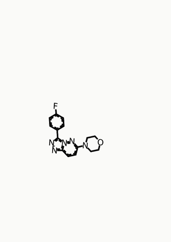 Fc1ccc(-c2nnc3ccc(N4CCOCC4)nn23)cc1